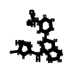 Cc1cc(Nc2nc(-c3cccc([SH](=O)=O)c3)cc3ncnn23)n[nH]1